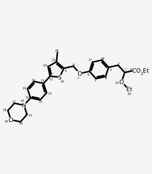 CCOC(=O)C(Cc1ccc(OCc2sc(-c3ccc(N4CCOCC4)cc3)cc2C)cc1)OCC